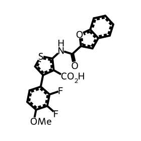 COc1ccc(-c2csc(NC(=O)c3cc4ccccc4o3)c2C(=O)O)c(F)c1F